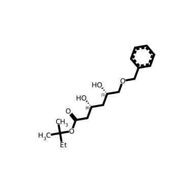 CCC(C)(C)OC(=O)C[C@H](O)C[C@H](O)COCc1ccccc1